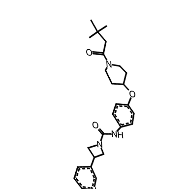 CC(C)(C)CC(=O)N1CCC(Oc2ccc(NC(=O)N3CC(c4cccnc4)C3)cc2)CC1